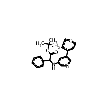 CC(C)(C)OC(=O)C(Nc1cncc(-c2ccccc2)c1)c1ccccc1